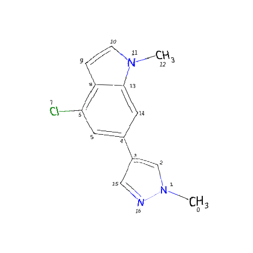 Cn1cc(-c2cc(Cl)c3ccn(C)c3c2)cn1